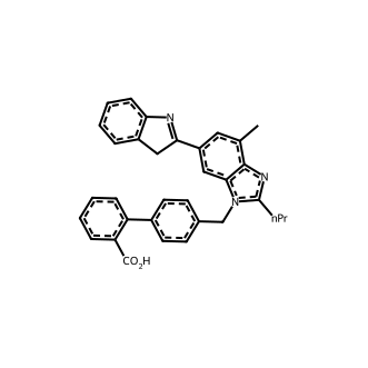 CCCc1nc2c(C)cc(C3=Nc4ccccc4C3)cc2n1Cc1ccc(-c2ccccc2C(=O)O)cc1